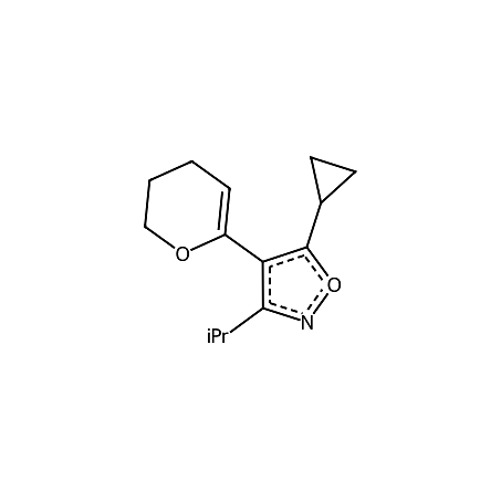 CC(C)c1noc(C2CC2)c1C1=CCCCO1